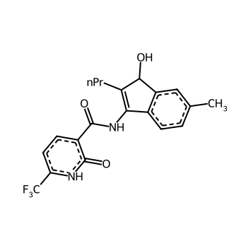 CCCC1=C(NC(=O)c2ccc(C(F)(F)F)[nH]c2=O)c2ccc(C)cc2C1O